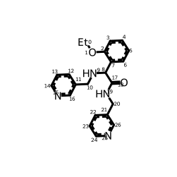 CCOc1ccccc1C(NCc1cccnc1)C(=O)NCc1cccnc1